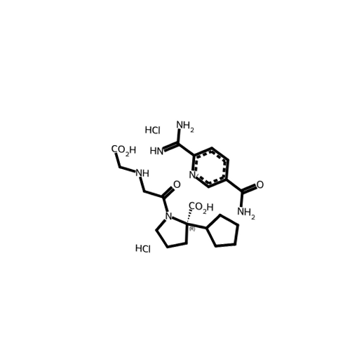 Cl.Cl.N=C(N)c1ccc(C(N)=O)cn1.O=C(O)CNCC(=O)N1CCC[C@]1(C(=O)O)C1CCCC1